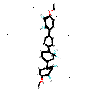 CCOc1ccc(C2CCC(C3CCC(c4ccc(OCC)c(F)c4F)CC3(F)F)CC2)c(F)c1F